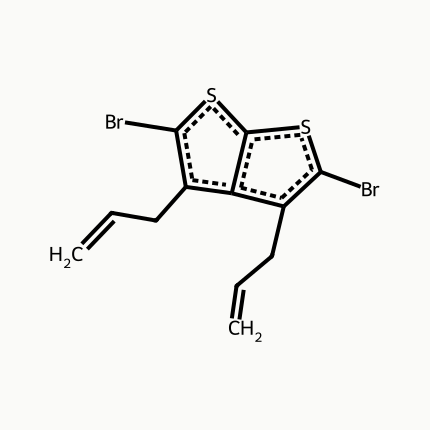 C=CCc1c(Br)sc2sc(Br)c(CC=C)c12